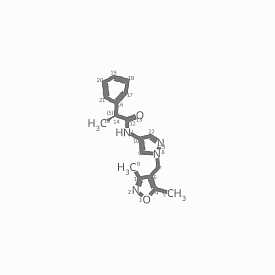 Cc1noc(C)c1Cn1cc(NC(=O)[C@@H](C)c2ccccc2)cn1